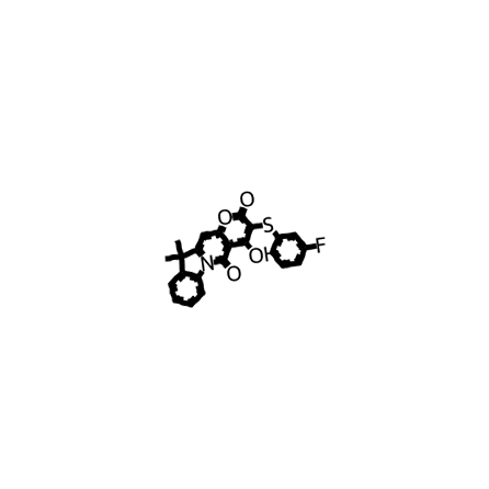 CC1(C)c2ccccc2-n2c1cc1oc(=O)c(Sc3cccc(F)c3)c(O)c1c2=O